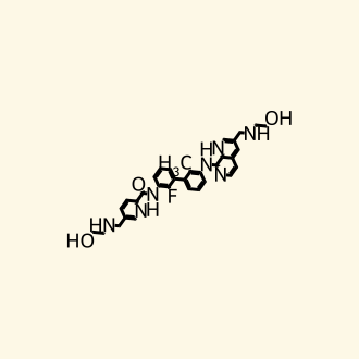 Cc1c(Nc2nccc3cc(CNCCO)cnc23)cccc1-c1cccc(NC(=O)c2ccc(CNCCO)cn2)c1F